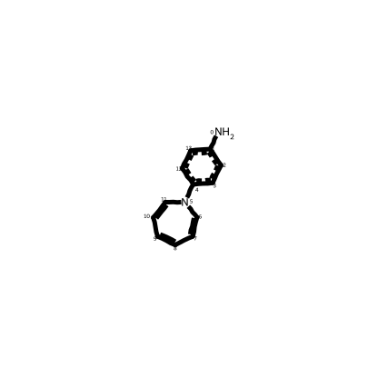 Nc1ccc(N2C=CC=CC=C2)cc1